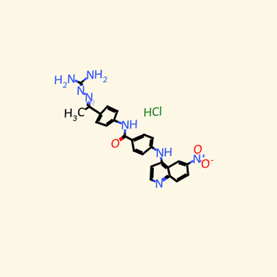 C/C(=N\N=C(N)N)c1ccc(NC(=O)c2ccc(Nc3ccnc4ccc([N+](=O)[O-])cc34)cc2)cc1.Cl